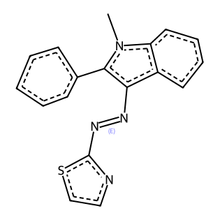 Cn1c(-c2ccccc2)c(/N=N/c2nccs2)c2ccccc21